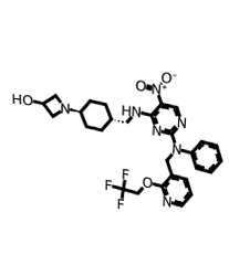 O=[N+]([O-])c1cnc(N(Cc2cccnc2OCC(F)(F)F)c2ccccc2)nc1NC[C@H]1CC[C@H](N2CC(O)C2)CC1